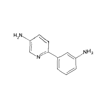 Nc1ccc(-c2cccc(N)c2)nc1